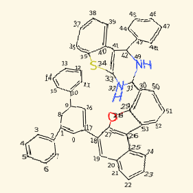 C1=C(c2ccccc2)CC(c2ccccc2)C=C1c1cc2ccccc2c2c1oc1c(C3Nc4sc5ccccc5c4C(c4ccccc4)N3)cccc12